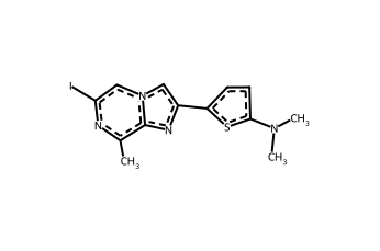 Cc1nc(I)cn2cc(-c3ccc(N(C)C)s3)nc12